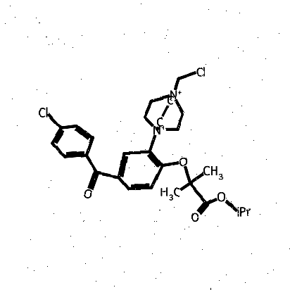 CC(C)OC(=O)C(C)(C)Oc1ccc(C(=O)c2ccc(Cl)cc2)cc1[N+]12CC[N+](CCl)(CC1)CC2